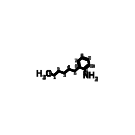 CCCCCCc1ccccc1N